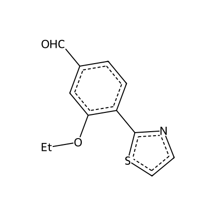 CCOc1cc(C=O)ccc1-c1nccs1